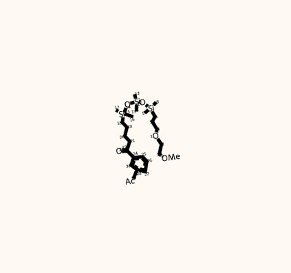 COCCOCCC[Si](C)(C)O[Si](C)(C)O[Si](C)(C)CCCCC(=O)c1cccc(C(C)=O)c1